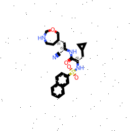 N#C[C@H](C[C@@H]1CCNCOC1)NC(=O)[C@H](CC1CC1)NS(=O)(=O)c1ccc2ccccc2c1